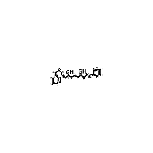 OC(CCCC(O)CN1CCCN2CCCN=C21)CCOc1ccccc1